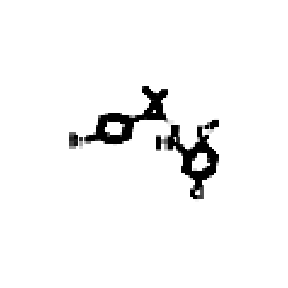 COc1ccc(Cl)cc1NC[C@@H]1[C@@H](c2ccc(Br)cc2)C1(C)C